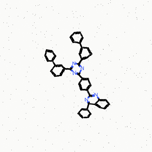 c1ccc(-c2cccc(-c3nc(-c4ccc(-c5nc(-c6ccccc6)c6ccccc6n5)cc4)nc(-c4cccc(-c5ccccc5)c4)n3)c2)cc1